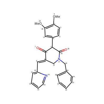 COc1ccc(C2C(=O)C(=Cc3ccccn3)CN(Cc3ccccc3)C2=O)cc1OC